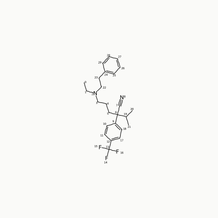 CCN(CCCC(C#N)(c1ccc(C(F)(F)F)cc1)C(C)C)CCc1ccccc1